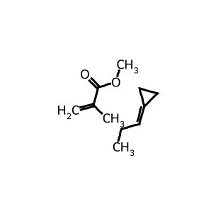 C=C(C)C(=O)OC.CCC=C1CC1